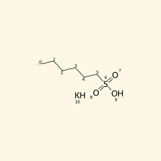 [CH2]CCCCCS(=O)(=O)O.[KH]